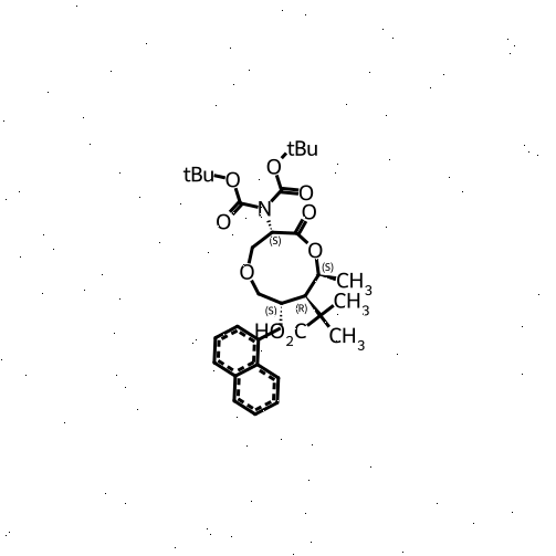 C[C@@H]1OC(=O)[C@@H](N(C(=O)OC(C)(C)C)C(=O)OC(C)(C)C)COC[C@@H](Cc2cccc3ccccc23)[C@@H]1C(C)(C)C(=O)O